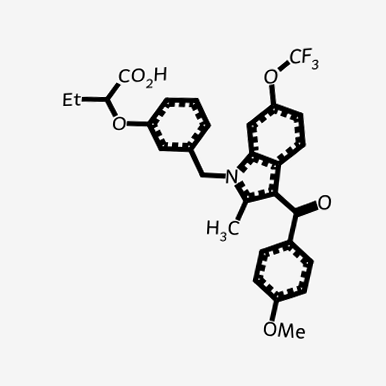 CCC(Oc1cccc(Cn2c(C)c(C(=O)c3ccc(OC)cc3)c3ccc(OC(F)(F)F)cc32)c1)C(=O)O